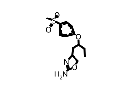 CCC(CC1COC(N)=N1)Oc1ccc(S(C)(=O)=O)cc1